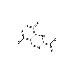 O=S(=O)=C1N=CC(=S(=O)=O)C(=S(=O)=O)N1